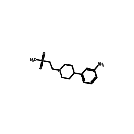 CS(=O)(=O)CCN1CCC(c2cccc(N)c2)CC1